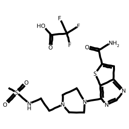 CS(=O)(=O)NCCN1CCN(c2ncnc3cc(C(N)=O)sc23)CC1.O=C(O)C(F)(F)F